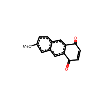 COc1ccc2cc3c(cc2c1)C(=O)C=CC3=O